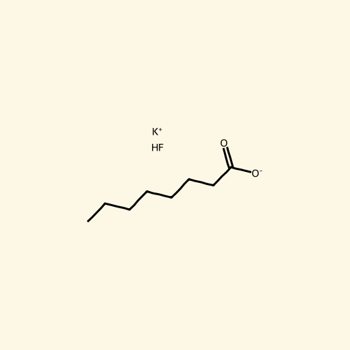 CCCCCCCC(=O)[O-].F.[K+]